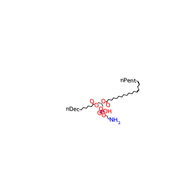 CCCCC/C=C\C/C=C\CCCCCCCCCCCC(=O)O[C@H](COC(=O)CCCCCCCCCCCCCCC)COP(=O)(O)OCCN